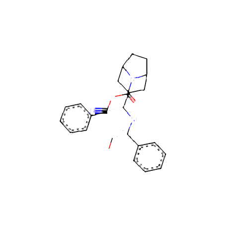 N#C[C@@H](N[C@@H](CO)c1ccccc1)C1CC2CCC(C1)N2C(=O)OCc1ccccc1